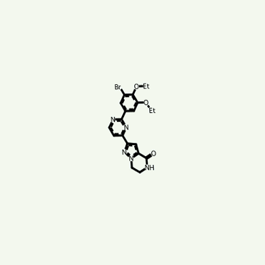 CCOc1cc(-c2nccc(-c3cc4n(n3)CCNC4=O)n2)cc(Br)c1OCC